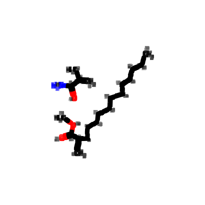 C=C(C)C(N)=O.C=C(CCCCCCCCCCCC)C(=O)OC